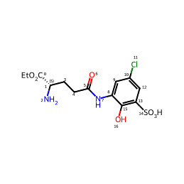 CCOC(=O)[C@@H](N)CCC(=O)Nc1cc(Cl)cc(S(=O)(=O)O)c1O